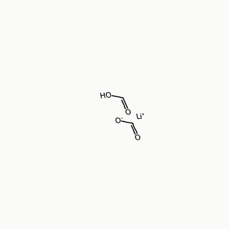 O=CO.O=C[O-].[Li+]